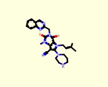 CC(C)=CCn1c(N2CCCNCC2)c(C#N)c2c1c(=O)n(Cc1ncc3ccccc3n1)c(=O)n2C